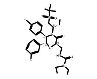 CC[C@@H](CS(=O)(=O)C(C)(C)C)N1C(=O)[C@@H](CNC(=O)N(CC)CC)O[C@H](c2cccc(Cl)c2)[C@H]1c1ccc(Cl)cc1